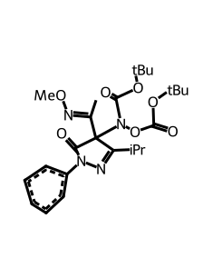 CON=C(C)C1(N(OC(=O)OC(C)(C)C)C(=O)OC(C)(C)C)C(=O)N(c2ccccc2)N=C1C(C)C